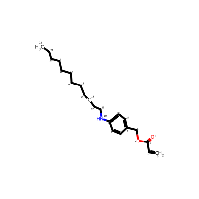 C=CC(=O)OCc1ccc(NCCCCCCCCCCCC)cc1